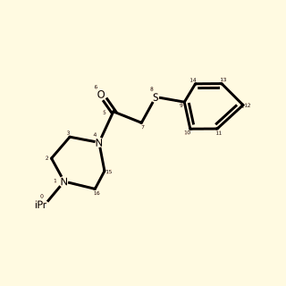 CC(C)N1CCN(C(=O)CSc2cc[c]cc2)CC1